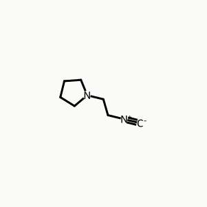 [C-]#[N+]CCN1CCCC1